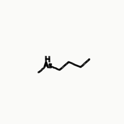 CCCC[AsH]C